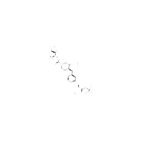 Cc1onc(NC(=O)N2CCC(=Cc3cccc(OCC(C)CC(F)(F)F)c3)C(C)C2)c1C